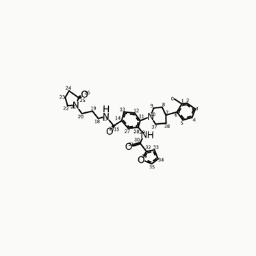 Cc1ccccc1C1CCN(c2ccc(C(=O)NCCCN3CCCC3=O)cc2NC(=O)c2ccco2)CC1